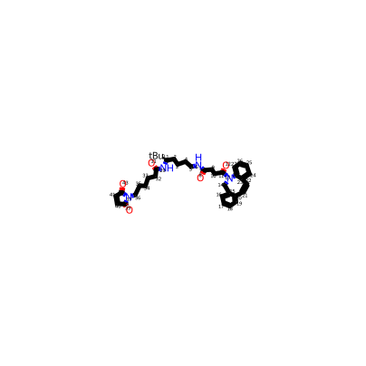 CC(C)(C)[C@@H](CCCCNC(=O)CCC(=O)N1Cc2ccccc2C#Cc2ccccc21)NC(=O)CCCCCN1C(=O)C=CC1=O